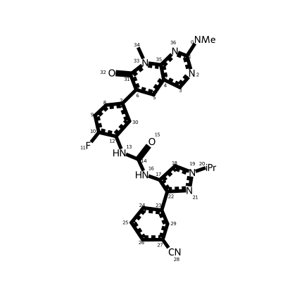 CNc1ncc2cc(-c3ccc(F)c(NC(=O)Nc4cn(C(C)C)nc4-c4cccc(C#N)c4)c3)c(=O)n(C)c2n1